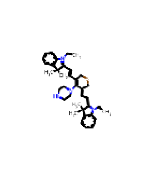 CCN1/C(=C/C=C2\CSCC(/C=C/C3=[N+](CC)c4ccccc4C3(C)C)=C2N2CCNCC2)C(C)(C)c2ccccc21